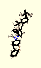 CCCC(C)(CC)c1ccc2c(c1)C(C)(C)c1cc(N(c3ccc4sc5ccccc5c4c3)C(C)CC)ccc1-2